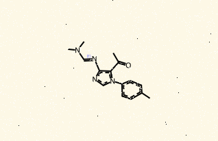 CC(=O)c1c(/N=C/N(C)C)ncn1-c1ccc(C)cc1